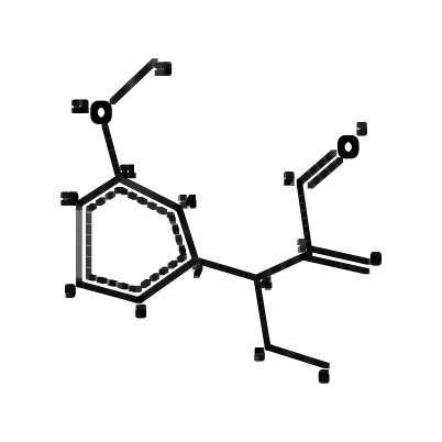 C=C(C=O)C(CC)c1cccc(OC)c1